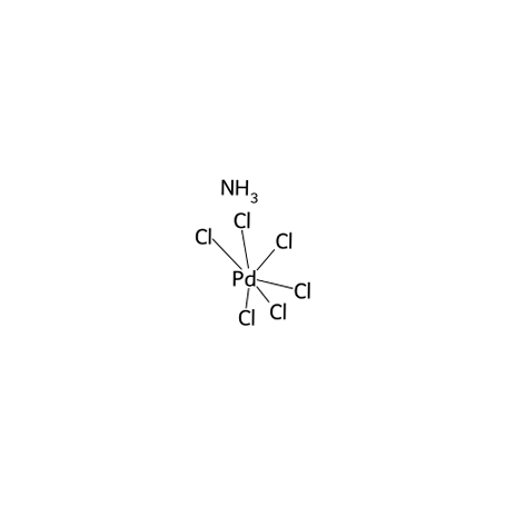 N.[Cl][Pd]([Cl])([Cl])([Cl])([Cl])[Cl]